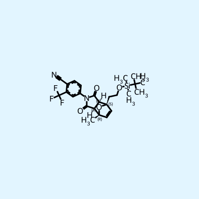 CC(C)(C)[Si](C)(C)OCC[C@@]12C=C[C@@](C)(O1)[C@H]1C(=O)N(c3ccc(C#N)c(C(F)(F)F)c3)C(=O)[C@H]12